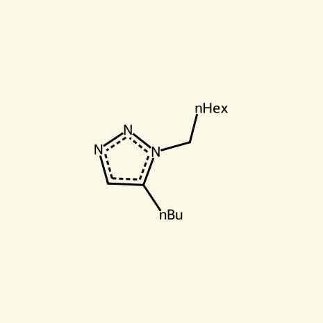 CCCCCCCn1nncc1CCCC